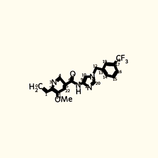 C=Cc1ncc(C(=O)Nc2cn(Cc3cccc(C(F)(F)F)c3)cn2)cc1OC